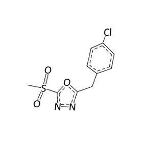 CS(=O)(=O)c1nnc(Cc2ccc(Cl)cc2)o1